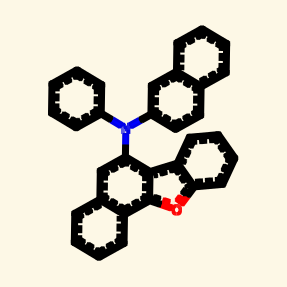 c1ccc(N(c2ccc3ccccc3c2)c2cc3ccccc3c3oc4ccccc4c23)cc1